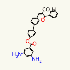 Nc1cc(N)cc(C(=O)Oc2ccc(-c3ccc(C=C(C(=O)O)C(=O)c4ccccc4)cc3)cc2)c1